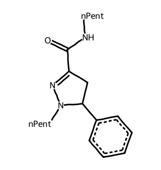 CCCCCNC(=O)C1=NN(CCCCC)C(c2ccccc2)C1